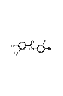 O=C(Nc1ccc(Br)c(F)c1)c1ccc(Br)c(C(F)(F)F)c1